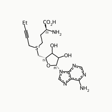 CCC#CC[S+](CC[C@H](N)C(=O)O)C[C@H]1O[C@@H](n2cnc3c(N)ncnc32)C(O)C1O